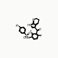 CC(C)c1ccc(S(=O)(=O)Nc2ccc(F)c(C(=O)c3c[nH]c4c3=CCCN=4)c2F)cc1